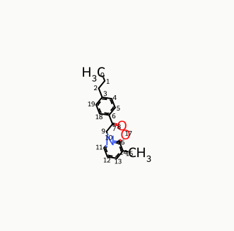 CCCc1ccc(C(=O)Cn2cccc(C)c2=O)cc1